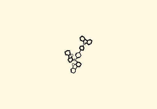 C1=CC2Oc3c(cccc3N(C3=CCC(c4ccc(-n5c6ccccc6c6ccccc65)cc4)C=C3)c3cccc4c3oc3ccccc34)C2CC1